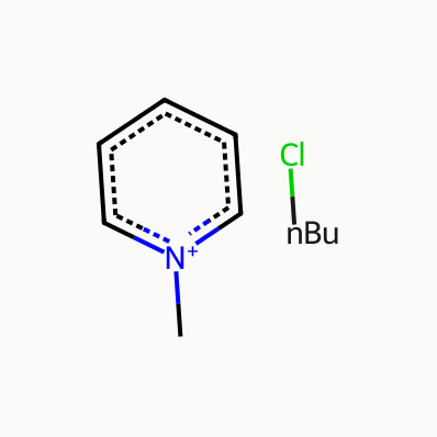 CCCCCl.C[n+]1ccccc1